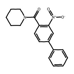 O=C(c1ccc(-c2ccccc2)cc1[N+](=O)[O-])N1CCCCC1